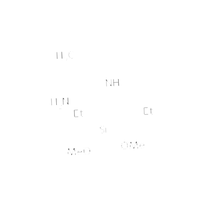 CCC(NC(C)N)[Si](CC)(OC)OC